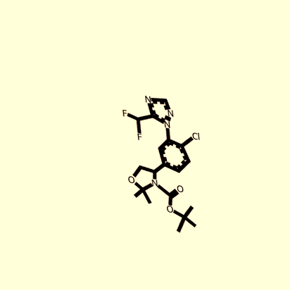 CC(C)(C)OC(=O)N1C(c2ccc(Cl)c(-n3ncnc3C(F)F)c2)COC1(C)C